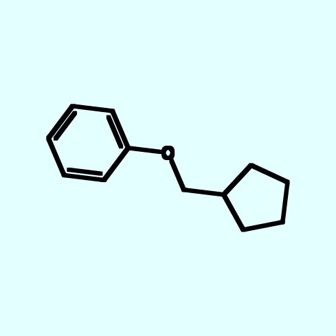 c1ccc(OCC2CCCC2)cc1